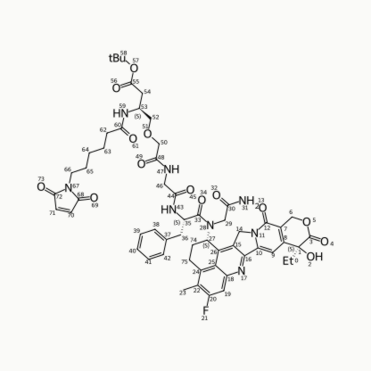 CC[C@@]1(O)C(=O)OCc2c1cc1n(c2=O)Cc2c-1nc1cc(F)c(C)c3c1c2[C@@H](N(CC(N)=O)C(=O)[C@H](Cc1ccccc1)NC(=O)CNC(=O)COC[C@H](CC(=O)OC(C)(C)C)NC(=O)CCCCCN1C(=O)C=CC1=O)CC3